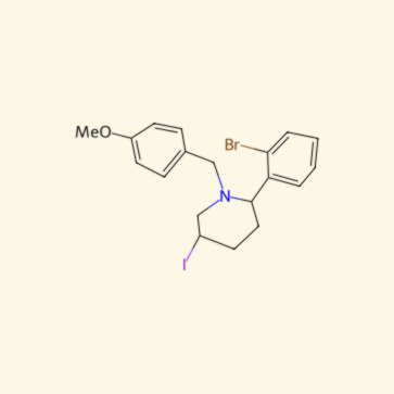 COc1ccc(CN2CC(I)CCC2c2ccccc2Br)cc1